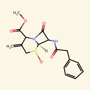 C=C1C[S+]([O-])[C@@H]2C(NC(=O)Cc3ccccc3)C(=O)N2C1C(=O)OC